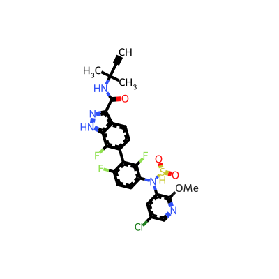 C#CC(C)(C)NC(=O)c1n[nH]c2c(F)c(-c3c(F)ccc(N(c4cc(Cl)cnc4OC)[SH](=O)=O)c3F)ccc12